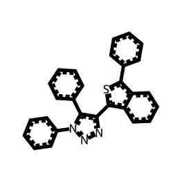 c1ccc(-c2sc(-c3nnn(-c4ccccc4)c3-c3ccccc3)c3ccccc23)cc1